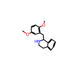 COc1ccc(OC)c(CC2NCCc3ccccc32)c1